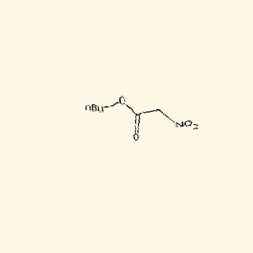 CCCCOC(=O)C[N+](=O)[O-]